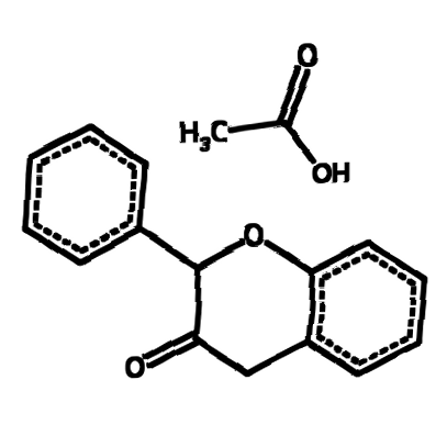 CC(=O)O.O=C1Cc2ccccc2OC1c1ccccc1